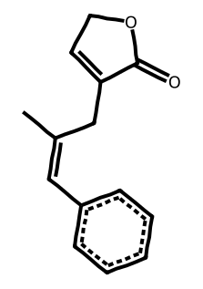 CC(=Cc1ccccc1)CC1=CCOC1=O